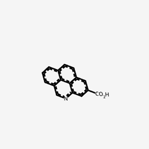 O=C(O)c1cc2ccc3cccc4cnc(c1)c2c34